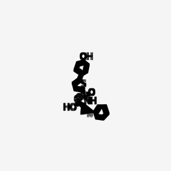 O=C(O)[C@@]1(NS(=O)(=O)c2ccc(-c3ccc(O)cc3)s2)C[C@H]1c1ccccc1